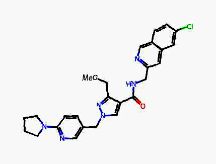 COCc1nn(Cc2ccc(N3CCCC3)nc2)cc1C(=O)NCc1cc2cc(Cl)ccc2cn1